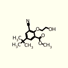 COC(=O)c1cc(C(C)(C)C)cc(C#N)c1OCCO